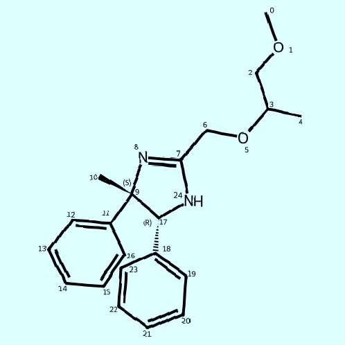 COCC(C)OCC1=N[C@@](C)(c2ccccc2)[C@@H](c2ccccc2)N1